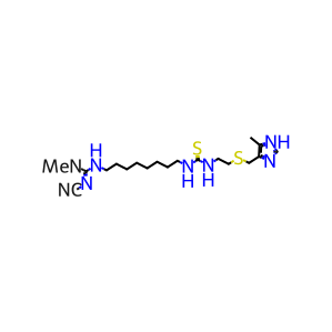 CNC(=NC#N)NCCCCCCCCNC(=S)NCCSCc1nc[nH]c1C